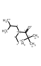 CC(C)CN(CI)C(=O)C(C)(C)C